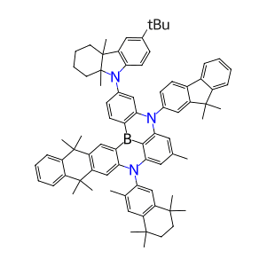 Cc1cc2c3c(c1)N(c1cc4c(cc1C)C(C)(C)CCC4(C)C)c1cc4c(cc1B3c1ccc(N3c5ccc(C(C)(C)C)cc5C5(C)CCCCC35C)cc1N2c1ccc2c(c1)C(C)(C)c1ccccc1-2)C(C)(C)c1ccccc1C4(C)C